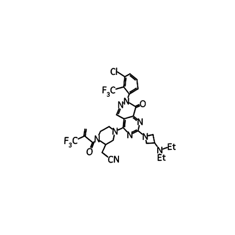 C=C(C(=O)N1CCN(c2nc(N3CC(N(CC)CC)C3)nc3c(=O)n(-c4cccc(Cl)c4C(F)(F)F)ncc23)CC1CC#N)C(F)(F)F